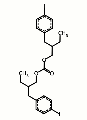 CCC(COC(=O)OCC(CC)Cc1ccc(I)cc1)Cc1ccc(I)cc1